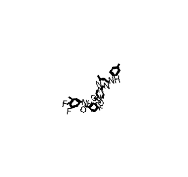 Cc1ccc(Nc2cc(C)nc(N3CCN(S(=O)(=O)c4cc(C(=O)Nc5cc(C)c(F)c(F)c5)ccc4F)CC3)n2)cc1